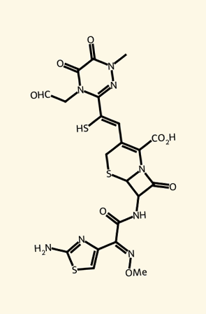 CON=C(C(=O)NC1C(=O)N2C(C(=O)O)=C(C=C(S)c3nn(C)c(=O)c(=O)n3CC=O)CSC12)c1csc(N)n1